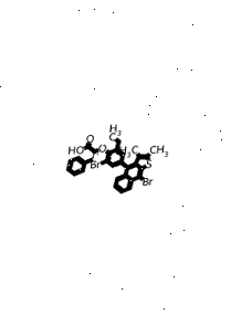 CCc1cc(-c2c3ccccc3c(Br)c3sc(C)c(C)c23)cc(Br)c1O[C@H](Cc1ccccc1)C(=O)O